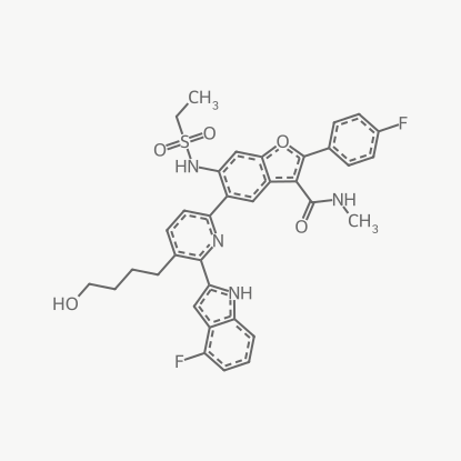 CCS(=O)(=O)Nc1cc2oc(-c3ccc(F)cc3)c(C(=O)NC)c2cc1-c1ccc(CCCCO)c(-c2cc3c(F)cccc3[nH]2)n1